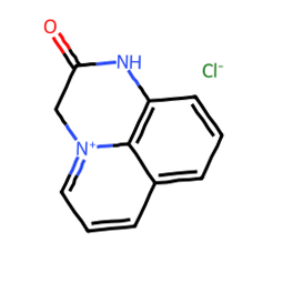 O=C1C[n+]2cccc3cccc(c32)N1.[Cl-]